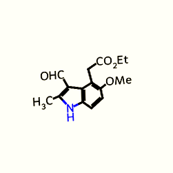 CCOC(=O)Cc1c(OC)ccc2[nH]c(C)c(C=O)c12